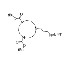 CC(C)(C)OC(=O)N1CCCN(CCCN=[N+]=[N-])CCCN(C(=O)OC(C)(C)C)CCC1